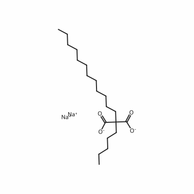 CCCCCCCCCCCCC(CCCCC)(C(=O)[O-])C(=O)[O-].[Na+].[Na+]